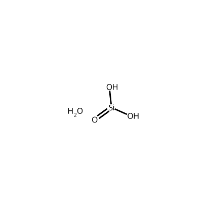 O.O=[Si](O)O